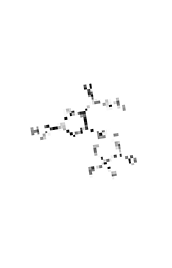 Cn1cc(Br)c(C(N)=O)n1.O=C(O)C(F)(F)F